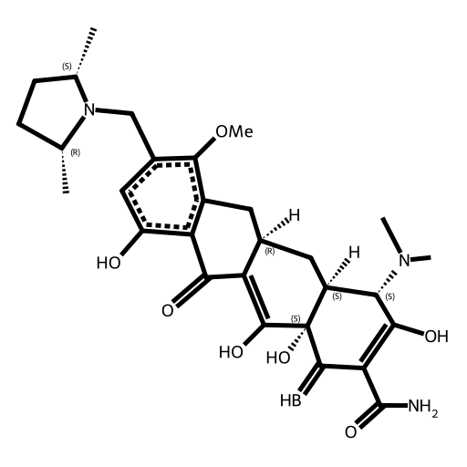 B=C1C(C(N)=O)=C(O)[C@@H](N(C)C)[C@@H]2C[C@@H]3Cc4c(OC)c(CN5[C@H](C)CC[C@@H]5C)cc(O)c4C(=O)C3=C(O)[C@]12O